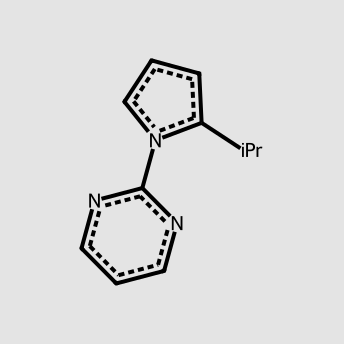 CC(C)c1cccn1-c1ncccn1